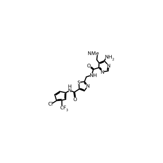 CNCc1c(N)ncnc1C(=O)NCc1ncc(C(=O)Nc2ccc(Cl)c(C(F)(F)F)c2)s1